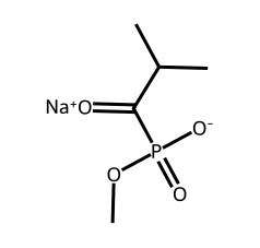 COP(=O)([O-])C(=O)C(C)C.[Na+]